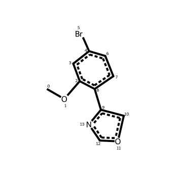 COc1cc(Br)ccc1-c1cocn1